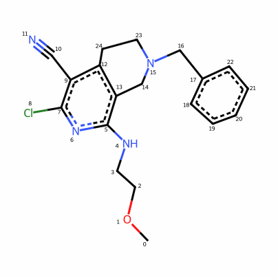 COCCNc1nc(Cl)c(C#N)c2c1CN(Cc1ccccc1)CC2